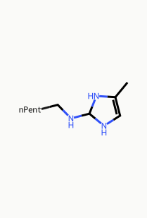 CCCCCCNC1NC=C(C)N1